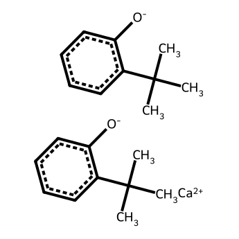 CC(C)(C)c1ccccc1[O-].CC(C)(C)c1ccccc1[O-].[Ca+2]